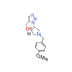 COc1ccc(CN2CC3[C@@H](C2)OCc2cnnn23)cc1